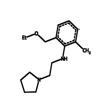 CCOCc1cc[c]c(C)c1NCCN1CCCC1